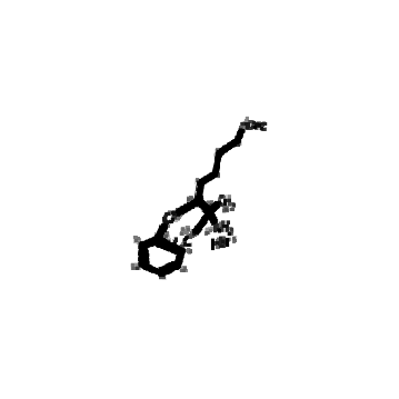 Br.CCCCCCCCCCCCCCC(Oc1ccccc1)C(C)(C)N